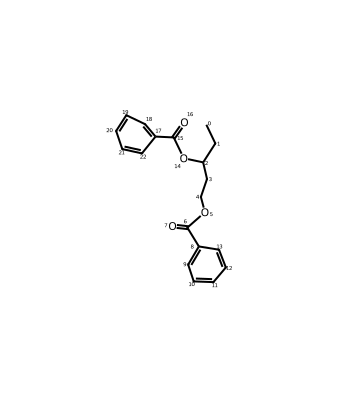 CCC(CCOC(=O)c1ccccc1)OC(=O)c1ccccc1